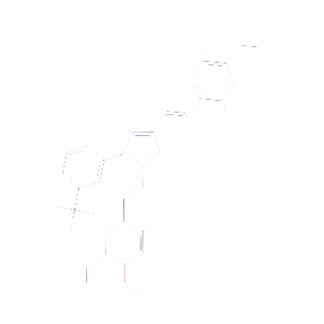 COc1cc(F)c(C=Cc2cc(C=Cc3cc(OC)c(OC)cc3F)n(-c3cccc(C(F)(F)F)c3)n2)cc1OC